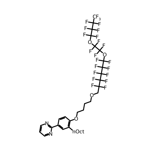 CCCCCCCCc1cc(-c2ncccn2)ccc1OCCCCOCC(F)(F)C(F)(F)C(F)(F)C(F)(F)C(F)(F)OC(F)(F)C(F)(F)OC(F)(F)C(F)(F)C(F)(F)C(F)(F)F